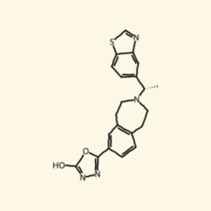 C[C@@H](c1ccc2scnc2c1)N1CCc2ccc(-c3nnc(O)o3)cc2CC1